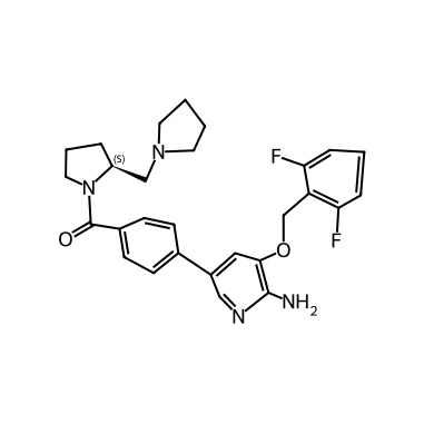 Nc1ncc(-c2ccc(C(=O)N3CCC[C@H]3CN3CCCC3)cc2)cc1OCc1c(F)cccc1F